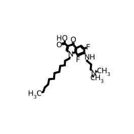 CCCCCCCCCCCCn1cc(C(=O)O)c(=O)c2cc(F)c(NCCCN(C)C)c(F)c21